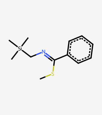 CSC(=NC[Si](C)(C)C)c1ccccc1